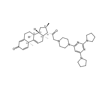 C[C@@H]1C[C@H]2[C@@H]3CCC4=CC(=O)C=C[C@]4(C)C3=CC[C@]2(C)[C@H]1C(=O)CN1CCN(c2cc(N3CCCC3)nc(N3CCCC3)n2)CC1